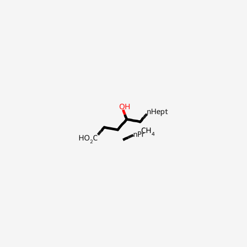 C.CCCC.CCCCCCCCC(O)CCC(=O)O